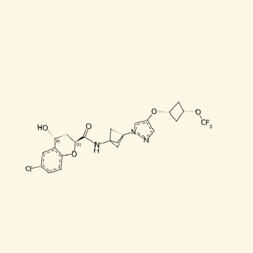 O=C(NC12CC(n3cc(O[C@H]4C[C@@H](OC(F)(F)F)C4)cn3)(C1)C2)[C@@H]1C[C@@H](O)c2cc(Cl)ccc2O1